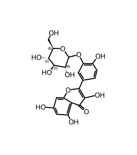 O=c1c(O)c(-c2ccc(O)c(OC3O[C@H](CO)[C@@H](O)[C@H](O)[C@H]3O)c2)oc2cc(O)cc(O)c12